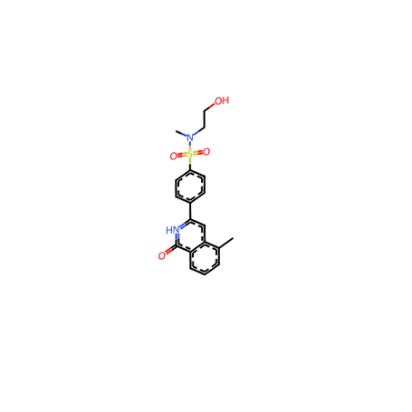 Cc1cccc2c(=O)[nH]c(-c3ccc(S(=O)(=O)N(C)CCO)cc3)cc12